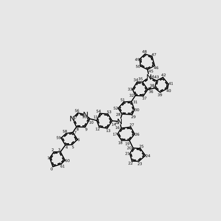 c1ccc(-c2ccc(-c3cc(-c4ccc(N(c5ccc(-c6ccccc6)cc5)c5ccc(-c6ccc7c(c6)c6ccccc6n7-c6ccccc6)cc5)cc4)ncn3)cc2)cc1